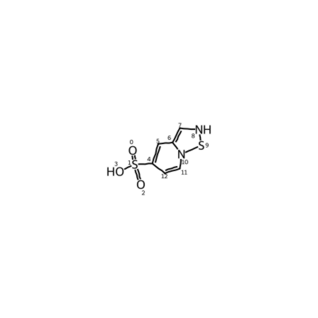 O=S(=O)(O)C1=CC2=CNSN2C=C1